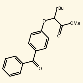 CCCCC(Oc1ccc(C(=O)c2ccccc2)cc1)C(=O)OC